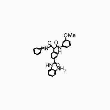 COc1cccc(NC(=O)C(C(=O)NCc2ccccc2)c2ccc(C(=O)Nc3ccccc3N)cc2)c1